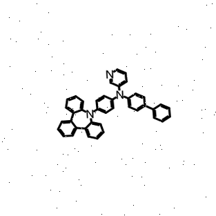 c1ccc(-c2ccc(N(c3ccc(N4c5ccccc5-c5ccccc5-c5ccccc54)cc3)c3cccnc3)cc2)cc1